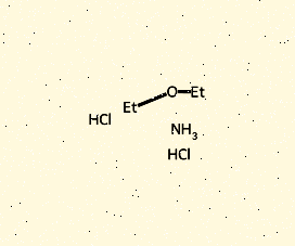 CCOCC.Cl.Cl.N